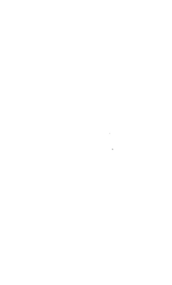 CCC(I)O[Si](CC)(CC)CC